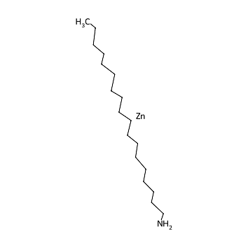 CCCCCCCCCCCCCCCCCCN.[Zn]